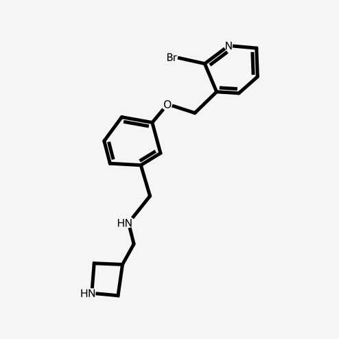 Brc1ncccc1COc1cccc(CNCC2CNC2)c1